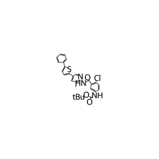 Cc1cc(-c2ccc(-c3ccccc3)s2)cnc1NC(=O)c1cc(NC(=O)OC(C)(C)C)ccc1Cl